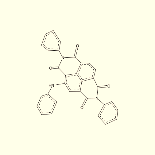 O=C1c2ccc3c4c(c(Nc5ccccc5)cc(c24)C(=O)N1c1ccccc1)C(=O)N(c1ccccc1)C3=O